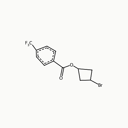 O=C(OC1CC(Br)C1)c1ccc(C(F)(F)F)cc1